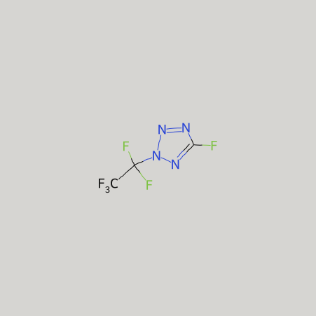 Fc1nnn(C(F)(F)C(F)(F)F)n1